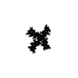 CB1c2c(C)cc(C)cc2-c2cc(C)c(-c3cc(-c4c(C)cc5c(c4C)B(C)c4c(C)cc(C)cc4-5)c4cc(-c5c(C)cc6c(c5C)B(C)c5c(C)cc(C)cc5-6)cc(-c5c(C)cc6c(c5C)B(C)c5c(C)cc(C)cc5-6)c4c3)c(C)c21